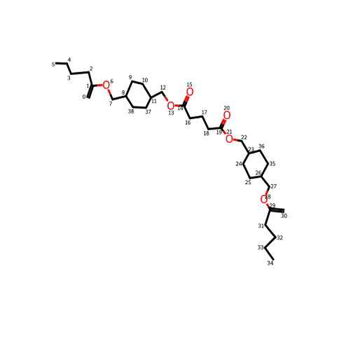 C=C(CCCC)OCC1CCC(COC(=O)CCCC(=O)OCC2CCC(COC(=C)CCCC)CC2)CC1